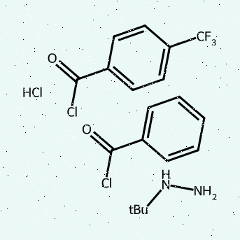 CC(C)(C)NN.Cl.O=C(Cl)c1ccc(C(F)(F)F)cc1.O=C(Cl)c1ccccc1